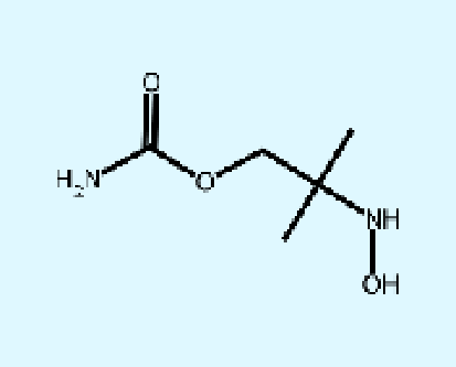 CC(C)(COC(N)=O)NO